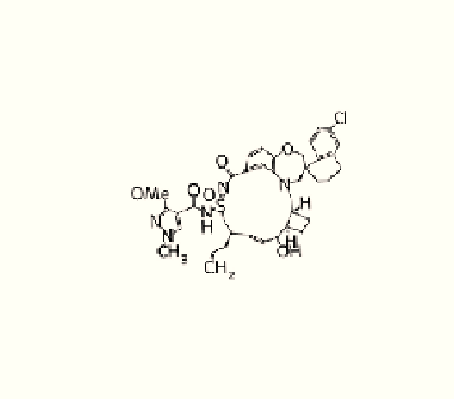 C=CC[C@@H]1/C=C/[C@H](O)[C@@H]2CC[C@H]2CN2C[C@@]3(CCCc4cc(Cl)ccc43)COc3ccc(cc32)C(=O)N=[S@](=O)(NC(=O)c2cn(C)nc2OC)C1